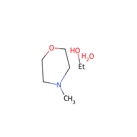 CCO.CN1CCOCC1.O